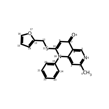 Cc1cc2c(cn1)c(=O)cc(SCc1ccco1)n2-c1ccccc1